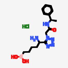 C[C@@H](NC(=O)Cn1nnnc1C(N)CCCCB(O)O)c1ccccc1.Cl